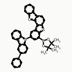 CC1(C)OB(c2cc(-n3c4ccccc4c4cc(-c5ccccc5)ccc43)cc3c2sc2ccc4c5ccccc5oc4c23)OC1(C)C